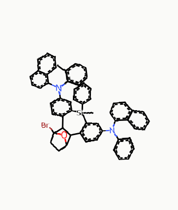 Cc1ccccc1N(c1ccc2c(c1)[Si](C)(c1ccccc1)c1cc(N(c3ccccc3)c3cccc4ccccc34)ccc1C1C3CCC(Br)(O3)C21)c1cccc2ccccc12